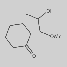 COCC(C)O.O=C1CCCCC1